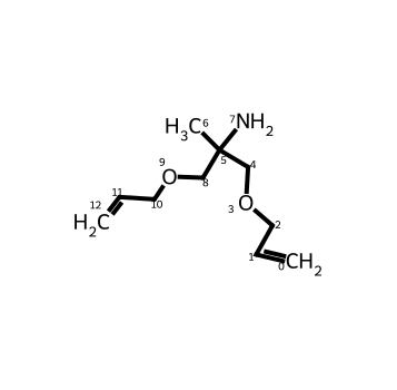 C=CCOCC(C)(N)COCC=C